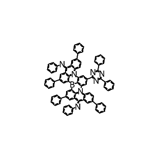 c1ccc(/N=c2/c3cc(-c4ccccc4)ccc3n3c4c(cc(-c5ccccc5)cc24)B2c4c-3cc(-c3nc(-c5ccccc5)nc(-c5ccccc5)n3)cc4-n3c4ccc(-c5ccccc5)cc4/c(=N/c4ccccc4)c4cc(-c5ccccc5)cc2c43)cc1